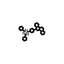 c1ccc(-c2nc(-c3ccccc3)nc(-c3ccc(-c4cc5c6ccccc6ccc5c5ccccc45)cc3)n2)cc1